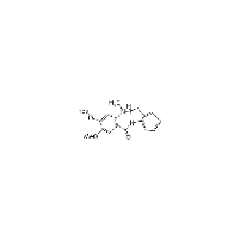 CCCCOc1cc2c(cc1OC)C(=O)N1c3ccccc3C[C@H]1N2C